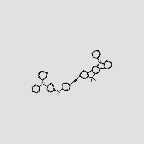 CC1(C)c2cc(C#Cc3ccc(Sc4ccc(N(c5ccccc5)c5ccccc5)cc4)cc3)ccc2-c2cc3c(cc21)c1ccccc1n3-c1ccccc1